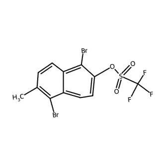 Cc1ccc2c(Br)c(OS(=O)(=O)C(F)(F)F)ccc2c1Br